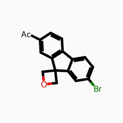 CC(=O)c1ccc2c(c1)C1(COC1)c1cc(Br)ccc1-2